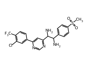 CS(=O)(=O)c1ccc(C(N)C(N)c2cc(-c3ccc(C(F)(F)F)c(Cl)c3)ncn2)cc1